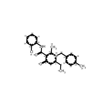 CCc1cc(=O)c(C(=O)Nc2ccccc2Cl)c(C)n1Cc1ccc(C)cc1